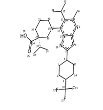 Cc1nc2cc(C3CCC(C(F)(F)F)CC3)nn2c(N2CCC[C@@](C(=O)O)(C(C)C)C2)c1C(C)C